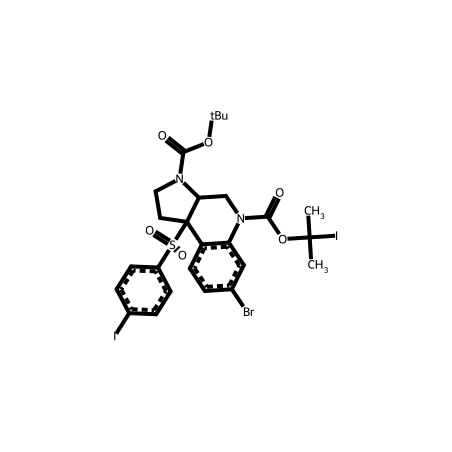 CC(C)(C)OC(=O)N1CCC2(S(=O)(=O)c3ccc(I)cc3)c3ccc(Br)cc3N(C(=O)OC(C)(C)I)CC12